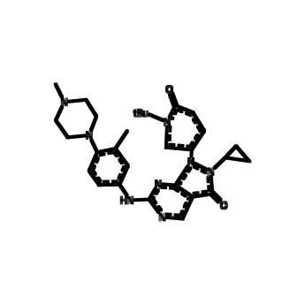 Cc1cc(Nc2ncc3c(=O)n(C4CC4)n(-c4ccc(=O)n(C(C)(C)C)c4)c3n2)ccc1N1CCN(C)CC1